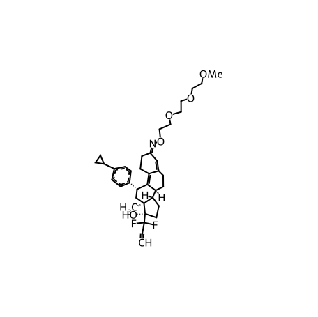 C#CC(F)(F)[C@]1(O)CC[C@H]2[C@@H]3CCC4=C/C(=N\OCCOCCOCCOC)CCC4=C3[C@@H](c3ccc(C4CC4)cc3)C[C@@]21C